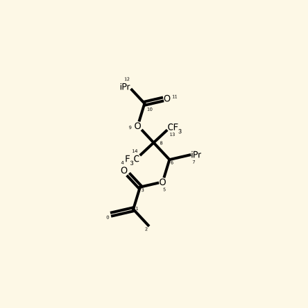 C=C(C)C(=O)OC(C(C)C)C(OC(=O)C(C)C)(C(F)(F)F)C(F)(F)F